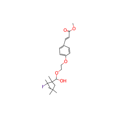 COC(=O)/C=C/c1ccc(OCCOC(O)C(C)(CC(C)(C)C)C(C)(C)I)cc1